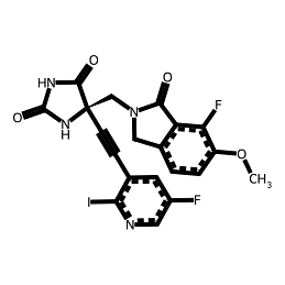 COc1ccc2c(c1F)C(=O)N(C[C@@]1(C#Cc3cc(F)cnc3I)NC(=O)NC1=O)C2